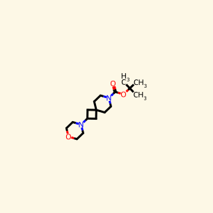 CC(C)(C)OC(=O)N1CCC2(CC1)CC(N1CCOCC1)C2